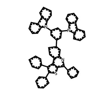 c1ccc(-c2sc3c(-c4ccccc4)nc4cc(-c5cc(-n6c7ccccc7c7ccccc76)cc(-n6c7ccccc7c7ccccc76)c5)ccc4c3c2-c2ccccc2)cc1